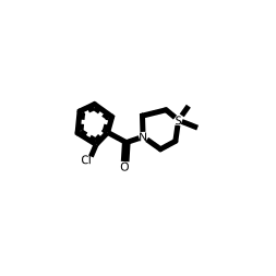 CS1(C)CCN(C(=O)c2ccccc2Cl)CC1